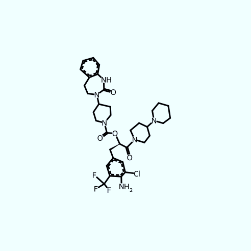 Nc1c(Cl)cc(C[C@@H](OC(=O)N2CCC(N3CCc4ccccc4NC3=O)CC2)C(=O)N2CCC(N3CCCCC3)CC2)cc1C(F)(F)F